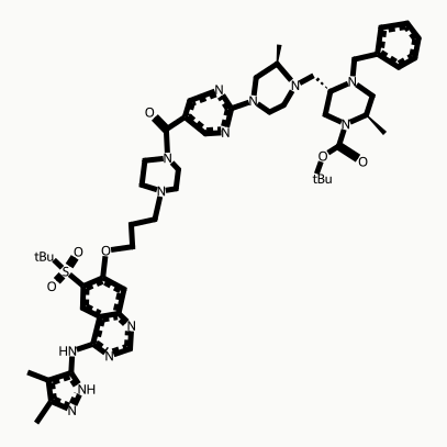 Cc1n[nH]c(Nc2ncnc3cc(OCCCN4CCN(C(=O)c5cnc(N6CCN(C[C@H]7CN(C(=O)OC(C)(C)C)[C@H](C)CN7Cc7ccccc7)[C@H](C)C6)nc5)CC4)c(S(=O)(=O)C(C)(C)C)cc23)c1C